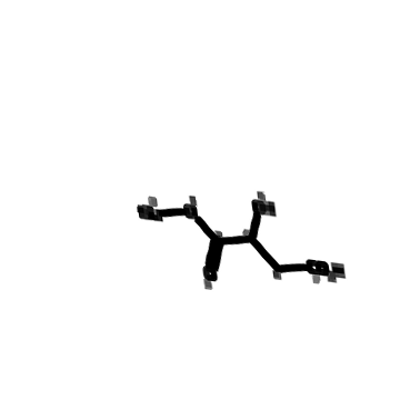 CC(C)(C)OC(=O)C(O)CC(=O)O